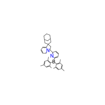 Cc1cc(C)c(B(c2cccc(CCC3(c4ccccn4)CC4CCCC(C4)C3)n2)c2c(C)cc(C)cc2C)c(C)c1